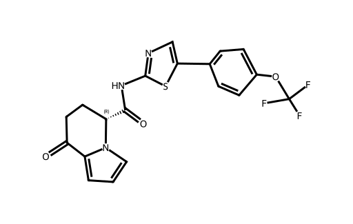 O=C1CC[C@H](C(=O)Nc2ncc(-c3ccc(OC(F)(F)F)cc3)s2)n2cccc21